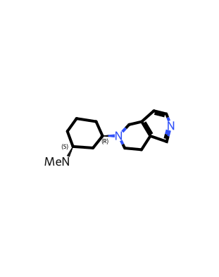 CN[C@H]1CCC[C@@H](N2CCc3cnccc3C2)C1